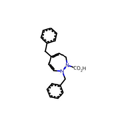 O=C(O)N1CC=C(Cc2ccccc2)C=CN1Cc1ccccc1